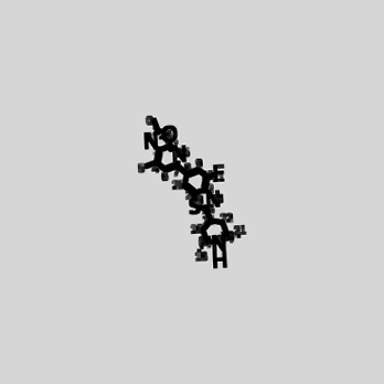 Cc1nc2c(C)cc(-c3cc(F)c4nc(C5C[C@@H](C)N[C@@H](C)C5)sc4c3)nc2o1